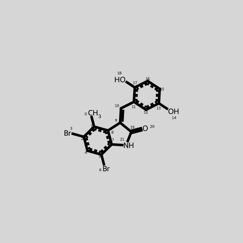 Cc1c(Br)cc(Br)c2c1C(=Cc1cc(O)ccc1O)C(=O)N2